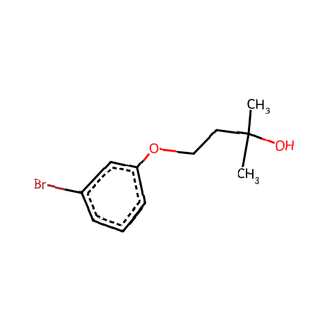 CC(C)(O)CCOc1cccc(Br)c1